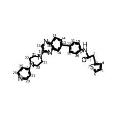 O=C(Cc1cccs1)Nc1ccc(-c2ccc3ncc(N4CCN(c5ccncc5)CC4)nc3c2)cc1